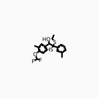 CCSC(S)(c1cccc(C)c1)C(O)c1ccc(OC(F)F)c(C)c1